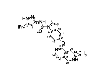 CC(C)c1cc(NC(=O)n2ccc3cc(Oc4ncnc5c4C[C@H](C)NC5)ccc32)n[nH]1